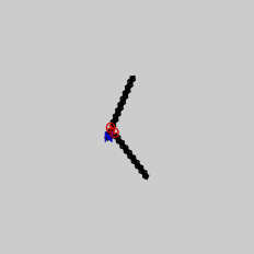 CCCCCCCCCCCCCCCCCCOC(CN(C)C)OCCCCCCCCCCCCCCCCCC